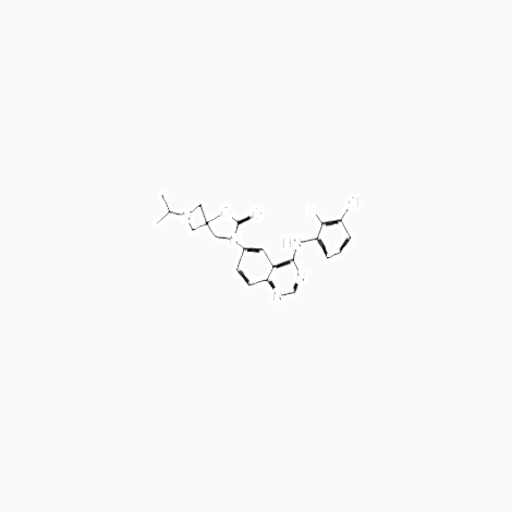 CC(C)N1CC2(CN(c3ccc4ncnc(Nc5cccc(Cl)c5F)c4c3)C(=O)O2)C1